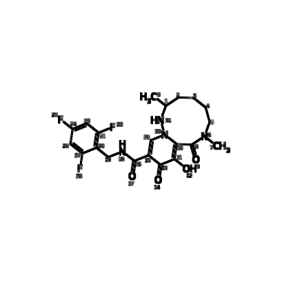 CC1CCCCN(C)C(=O)c2c(O)c(=O)c(C(=O)NCc3c(F)cc(F)cc3F)cn2N1